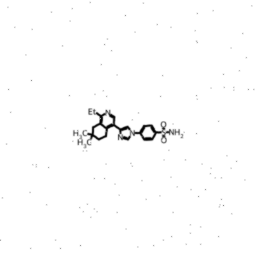 CCc1ncc(-c2cn(-c3ccc(S(N)(=O)=O)cc3)cn2)c2c1CC(C)(C)CC2